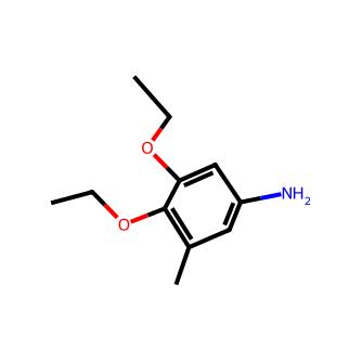 CCOc1cc(N)cc(C)c1OCC